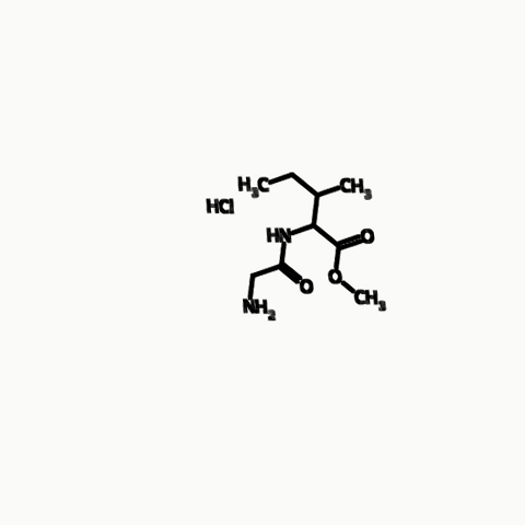 CCC(C)C(NC(=O)CN)C(=O)OC.Cl